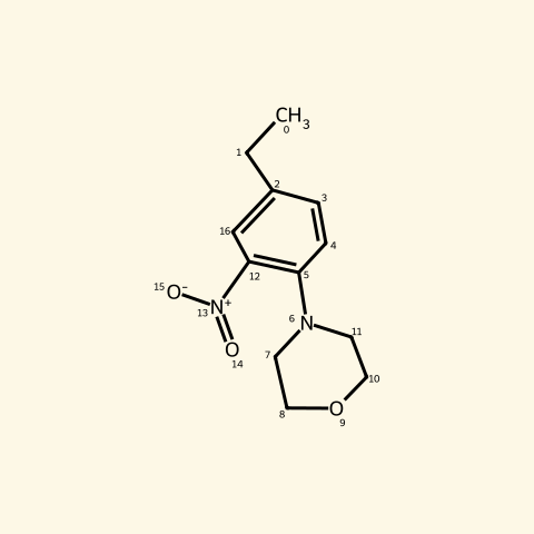 CCc1ccc(N2CCOCC2)c([N+](=O)[O-])c1